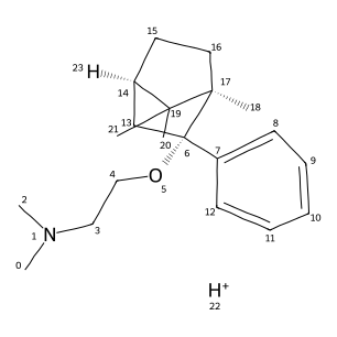 CN(C)CCO[C@]1(c2ccccc2)C[C@H]2CC[C@]1(C)C2(C)C.[H+]